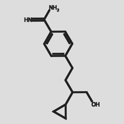 N=C(N)c1ccc(CCC(CO)C2CC2)cc1